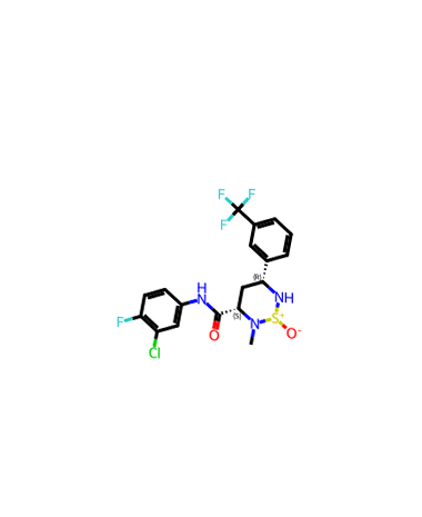 CN1[C@H](C(=O)Nc2ccc(F)c(Cl)c2)C[C@H](c2cccc(C(F)(F)F)c2)N[S+]1[O-]